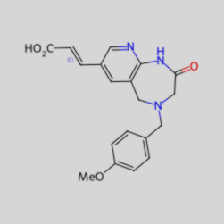 COc1ccc(CN2CC(=O)Nc3ncc(/C=C/C(=O)O)cc3C2)cc1